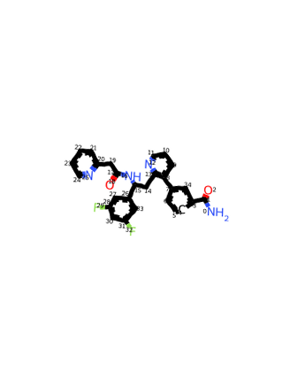 NC(=O)c1cccc(-c2cccnc2CC(NC(=O)Cc2ccccn2)c2cc(F)cc(F)c2)c1